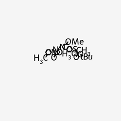 COCCN(CC1=NN(c2cccc(C)c2)C(=O)CO1)Cc1ccc(SC(C)(C)C(=O)OC(C)(C)C)cc1